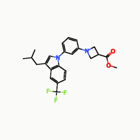 COC(=O)C1CN(c2cccc(-n3cc(CC(C)C)c4cc(C(F)(F)F)ccc43)c2)C1